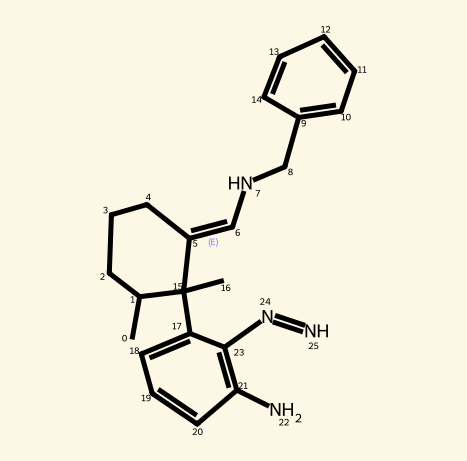 CC1CCC/C(=C\NCc2ccccc2)C1(C)c1cccc(N)c1N=N